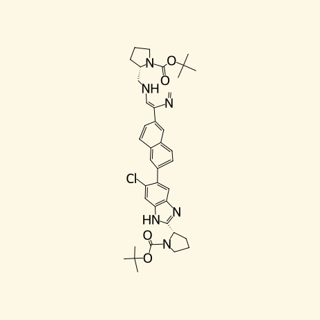 C=N/C(=C\NC[C@@H]1CCCN1C(=O)OC(C)(C)C)c1ccc2cc(-c3cc4nc([C@@H]5CCCN5C(=O)OC(C)(C)C)[nH]c4cc3Cl)ccc2c1